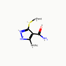 CCCCCSc1n[nH]c(NC(C)=O)c1C(N)=O